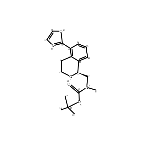 CN(C[C@H]1OCCc2c(-c3ncco3)cccc21)C(=O)OC(C)(C)C